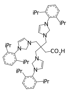 CC(C)c1cccc(C(C)C)c1N1C=CN(CC(CC(=O)O)(CN2C=CN(c3c(C(C)C)cccc3C(C)C)C2)CN2C=CN(c3c(C(C)C)cccc3C(C)C)C2)C1